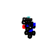 COC1(Cc2ccccc2F)CCCC(NC(=O)c2ccc3c(c2)c(-c2ccnc(C)c2)nn3C(c2ccccc2)(c2ccccc2)c2ccccc2)C1